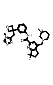 C[C@H]1CCCN(Cc2cc(C(=O)Nc3cccc(C4(Cc5nncn5C)COC4)c3)nc3c2CCC3(F)F)C1